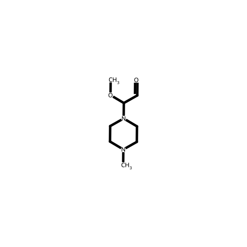 COC(C=O)N1CCN(C)CC1